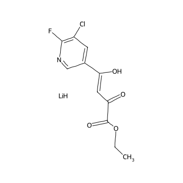 CCOC(=O)C(=O)C=C(O)c1cnc(F)c(Cl)c1.[LiH]